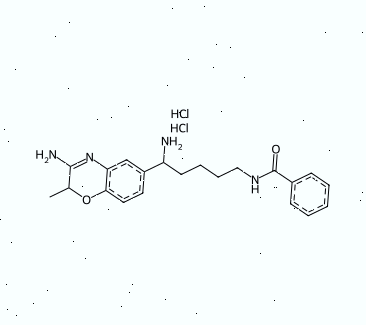 CC1Oc2ccc(C(N)CCCCNC(=O)c3ccccc3)cc2N=C1N.Cl.Cl